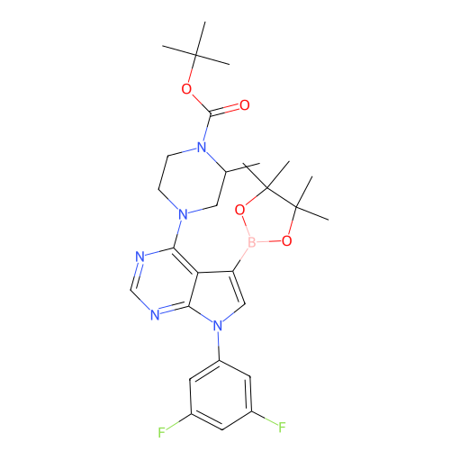 CC1CN(c2ncnc3c2c(B2OC(C)(C)C(C)(C)O2)cn3-c2cc(F)cc(F)c2)CCN1C(=O)OC(C)(C)C